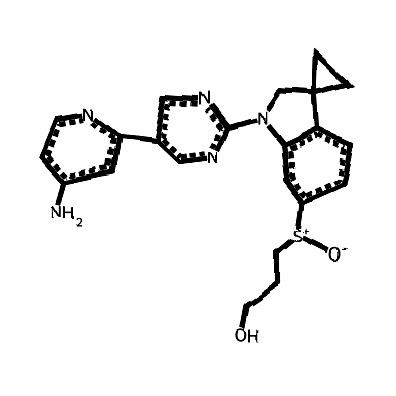 Nc1ccnc(-c2cnc(N3CC4(CC4)c4ccc([S+]([O-])CCCO)cc43)nc2)c1